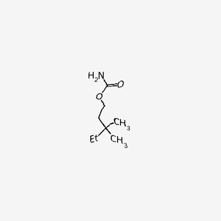 CCC(C)(C)CCOC(N)=O